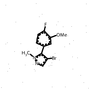 COc1cc(-c2c(Br)cnn2C)ccc1F